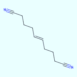 N#CCCCC=CCCCC#N